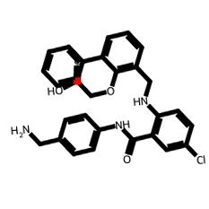 NCc1ccc(NC(=O)c2cc(Cl)ccc2NCc2cccc(-c3ccccc3)c2OCC(=O)O)cc1